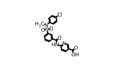 CN(c1ccc(Cl)cc1)S(=O)(=O)c1cccc(C(=O)Nc2ccc(C(=O)O)cn2)c1